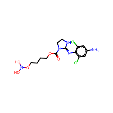 Nc1cc(Cl)c(/N=C2\NCCN2C(=O)OCCCCON(O)O)c(Cl)c1